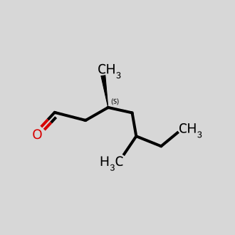 CCC(C)C[C@H](C)CC=O